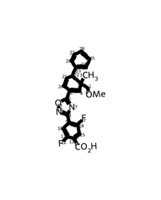 COCC1(C)C=C(c2nc(-c3cc(F)c(C(=O)O)cc3F)no2)C=CC1c1ccccc1